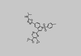 COC(=O)c1cnc(-c2cn(S(=O)(=O)c3ccc(C)cc3)c3ccc(-c4nnc(NC(C)C)o4)cc23)nc1C1CC1